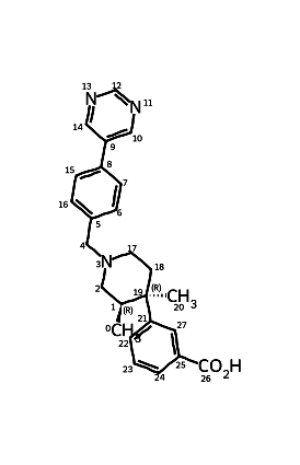 C[C@H]1CN(Cc2ccc(-c3cncnc3)cc2)CC[C@@]1(C)c1cccc(C(=O)O)c1